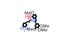 COc1ccc(C=Cc2cc(OC)c(OC)c(OC)c2)c(NC(=O)/C=C/c2cccc(N)c2)c1O